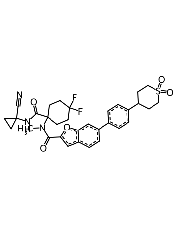 CN(C(=O)c1cc2ccc(-c3ccc(C4CCS(=O)(=O)CC4)cc3)cc2o1)C1(C(=O)NC2(C#N)CC2)CCC(F)(F)CC1